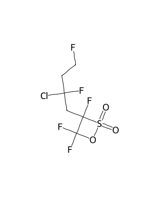 O=S1(=O)OC(F)(F)C1(F)CC(F)(Cl)CCF